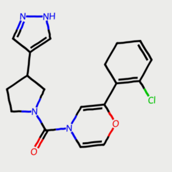 O=C(N1C=COC(C2=C(Cl)C=CCC2)=C1)N1CCC(c2cn[nH]c2)C1